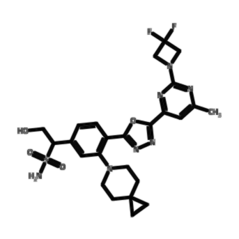 Cc1cc(-c2nnc(-c3ccc(C(CO)S(N)(=O)=O)cc3N3CCC4(CC3)CC4)o2)nc(N2CC(F)(F)C2)n1